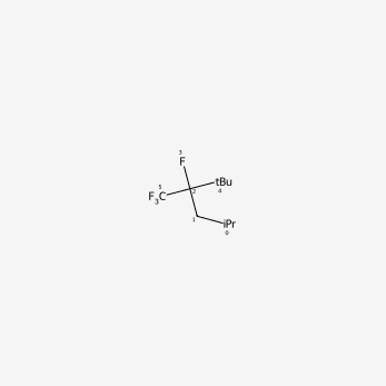 CC(C)CC(F)(C(C)(C)C)C(F)(F)F